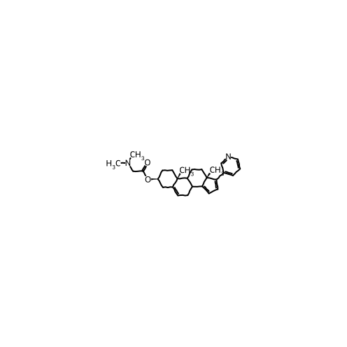 CN(C)CC(=O)O[C@H]1CC[C@@]2(C)C(=CCC3C4=CC=C(c5cccnc5)[C@@]4(C)CCC32)C1